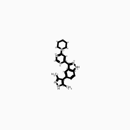 Cc1n[nH]c(C)c1-c1ccc2[nH]nc(-c3cc(N4CCCCC4)ncn3)c2c1